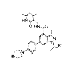 Cc1cc(C)c(CNC(=O)c2cc(-c3ccc(N4CCNCC4)nc3)cc3c2c(C)nn3C(C)C)c(=O)[nH]1.Cl